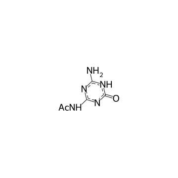 CC(=O)Nc1nc(N)[nH]c(=O)n1